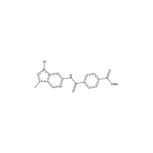 CCn1cc(C)c2cnc(NC(=O)c3ccc(C(=O)OC)cc3)cc21